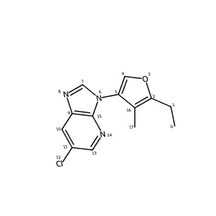 CCc1occ(-n2cnc3cc(Cl)cnc32)c1C